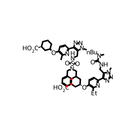 CCCCN(C)C(=O)NCc1c(-c2ccc(O[C@H]3CC(CN(Cc4ccccc4)S(=O)(=O)NCc4c(-c5ccc(OC6CCC[C@H](C(=O)O)C6)c(C)n5)nnn4C)C[C@H](C(=O)O)C3)c(CC)n2)nnn1C